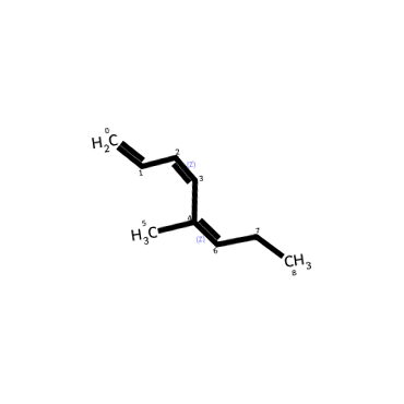 C=C/C=C\C(C)=C/CC